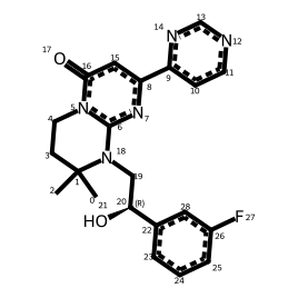 CC1(C)CCn2c(nc(-c3ccncn3)cc2=O)N1C[C@H](O)c1cccc(F)c1